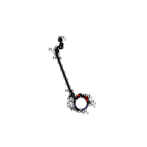 CO[C@H]1C[C@@H]2CC[C@@H](C)[C@@](O)(O2)C(=O)C(=O)N2CCCC[C@H]2C(=O)O[C@H]([C@H](N)C[C@@H]2CC[C@@H](OC(=O)NCCOCCOCCOCCOCCOCCOCCOCCOCCC(=O)NCCS(=O)(=O)c3ccc(C(=O)N4CCOc5ccc(-c6ccc(N)nc6)cc5C4)c(C)c3)[C@H](OC)C2)C[C@@H](O)[C@H](C)/C=C(\C)[C@@H](O)[C@@H](O)C(=O)[C@H](C)C[C@H](C)/C=C/C=C/C=C/1C